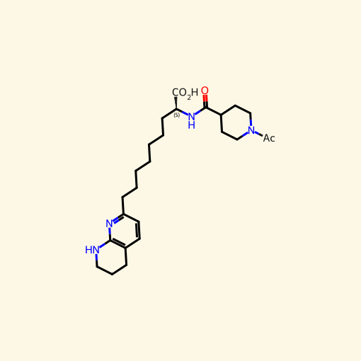 CC(=O)N1CCC(C(=O)N[C@@H](CCCCCCCc2ccc3c(n2)NCCC3)C(=O)O)CC1